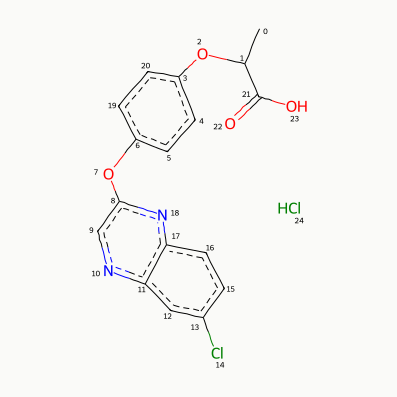 CC(Oc1ccc(Oc2cnc3cc(Cl)ccc3n2)cc1)C(=O)O.Cl